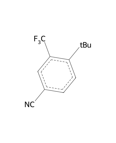 CC(C)(C)c1ccc(C#N)cc1C(F)(F)F